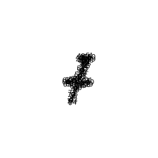 c1ccc(-c2ccc(-c3ccc(-c4c5ccc(-c6ccccc6)cc5c(-c5ccc(-c6ccc(-c7ccc8c(c7)c7ccccc7n8-c7ccccc7)cc6)cc5)c5ccc(-c6ccccc6)cc45)cc3)cc2)cc1